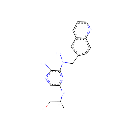 C[C@@H](CO)Nc1cnc(N)c(N(N)Cc2ccc3ncccc3c2)n1